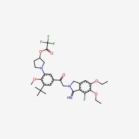 CCOc1cc2c(c(F)c1OCC)C(=N)N(CC(=O)c1cc(N3CCC(OC(=O)C(F)(F)F)C3)c(OC)c(C(C)(C)C)c1)C2